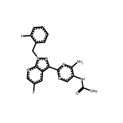 COC(=O)Nc1cnc(-c2nn(Cc3ccccc3F)c3ncc(F)cc23)nc1N